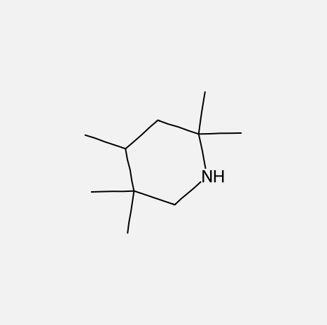 CC1CC(C)(C)NCC1(C)C